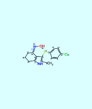 Cc1[nH]c2c(c1Sc1ccc(Cl)cc1)/C(=N\O)CCC2